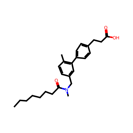 CCCCCCCC(=O)N(C)Cc1ccc(C)c(-c2ccc(CCC(=O)O)cc2)c1